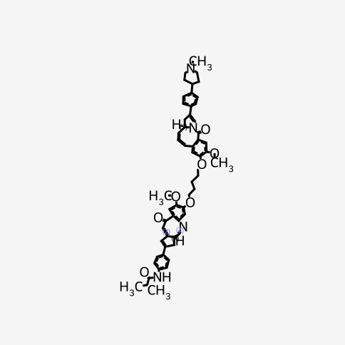 COc1cc2c(cc1OCCCCCOc1cc3c(cc1OC)C(=O)/C=C1/C=C(c4ccc(NC(=O)C(C)C)cc4)C[C@H]1/C=N\3)C=C=C[C@@H]1CC(c3ccc(C4CCN(C)CC4)cc3)=CN1C2=O